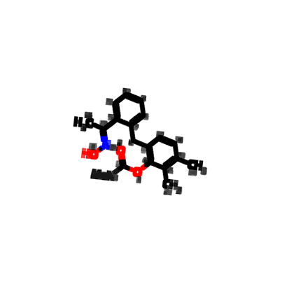 CNC(=O)Oc1c(Cc2ccccc2C(C)=NO)ccc(C)c1C